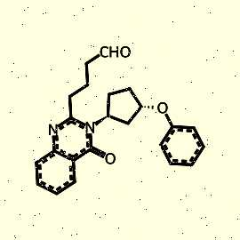 O=CCCCc1nc2ccccc2c(=O)n1[C@H]1CC[C@H](Oc2ccccc2)C1